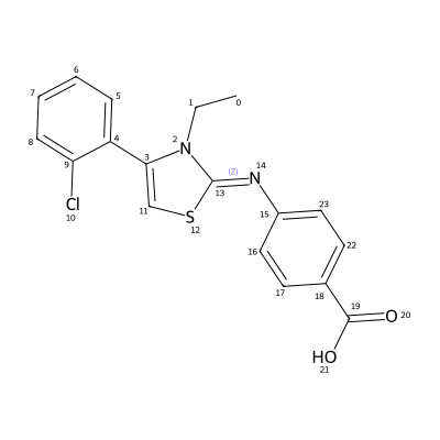 CCn1c(-c2ccccc2Cl)cs/c1=N\c1ccc(C(=O)O)cc1